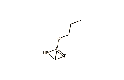 CCCOP12=PC1P2